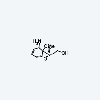 COC1(S(=O)(=O)CCO)C=CC=CC1N